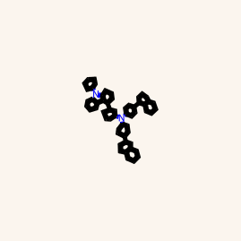 c1ccc(-n2c3ccccc3c3c(-c4cccc(N(c5ccc(-c6ccc7ccccc7c6)cc5)c5ccc(-c6cccc7ccccc67)cc5)c4)cccc32)cc1